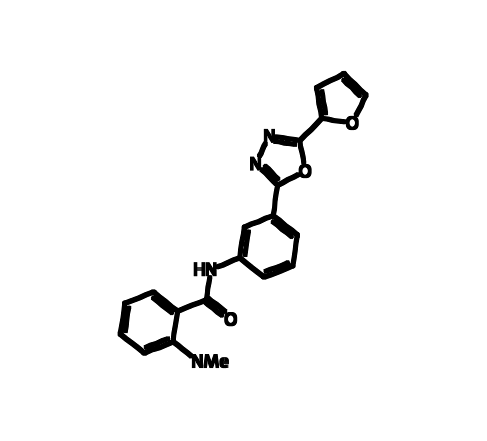 CNc1ccccc1C(=O)Nc1cccc(-c2nnc(-c3ccco3)o2)c1